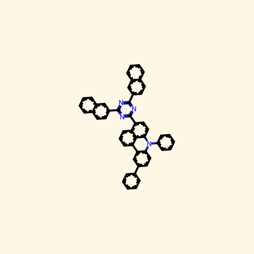 c1ccc(-c2ccc3c(c2)-c2cccc4c(-c5nc(-c6ccc7ccccc7c6)nc(-c6ccc7ccccc7c6)n5)ccc(c24)N3c2ccccc2)cc1